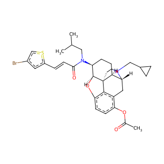 CC(=O)Oc1ccc2c3c1C[C@@H]1[C@@H]4CC[C@H](N(CC(C)C)C(=O)/C=C/c5cc(Br)cs5)[C@H](O2)[C@]34CCN1CC1CC1